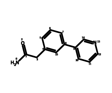 NC(=O)Cc1cccc(-c2cccnc2)c1